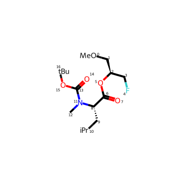 COC[C@@H](CF)OC(=O)[C@H](CC(C)C)N(C)C(=O)OC(C)(C)C